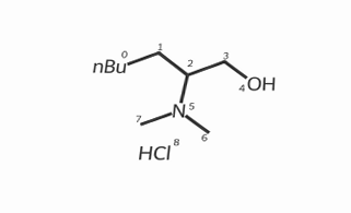 CCCCCC(CO)N(C)C.Cl